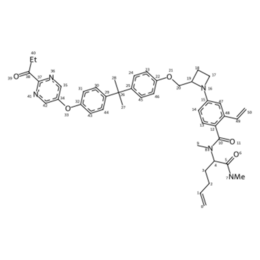 C=CCCC(C(=O)NC)N(C)C(=O)c1ccc(N2CCC2COc2ccc(C(C)(C)c3ccc(Oc4cnc(C(=O)CC)nc4)cc3)cc2)cc1C=C